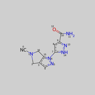 N#CN1Cc2cnn(-c3cc(C(N)=O)n[nH]3)c2C1